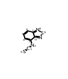 S=C=Nc1cccc2nsnc12